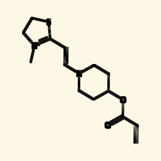 C=CC(=O)OC1CCN(C=CC2=[N+](C)CCS2)CC1